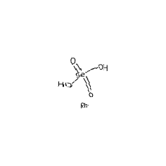 O=[Se](=O)(O)O.[Rh]